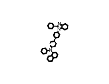 C=C(/C=C\C(=C/C)c1ccc(-n2c(-c3ccccc3)nc3ccccc32)cc1)N(c1ccccc1)c1cccc2ccccc12